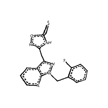 Fc1ccccc1Cn1nc(-c2noc(=S)[nH]2)c2cccnc21